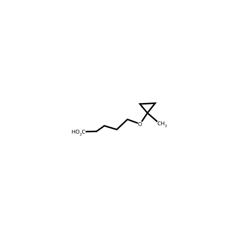 CC1(OCCCCC(=O)O)CC1